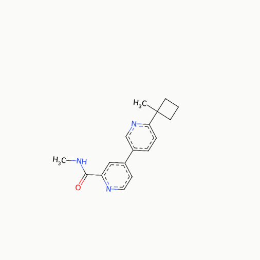 CNC(=O)c1cc(-c2ccc(C3(C)CCC3)nc2)ccn1